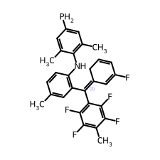 Cc1ccc(Nc2c(C)cc(P)cc2C)c(/C(=C2/C=C(F)C=CC2)c2c(F)c(F)c(C)c(F)c2F)c1